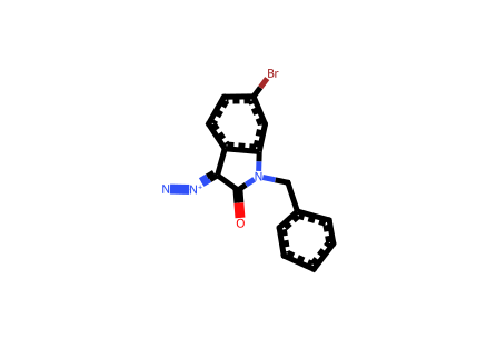 [N-]=[N+]=C1C(=O)N(Cc2ccccc2)c2cc(Br)ccc21